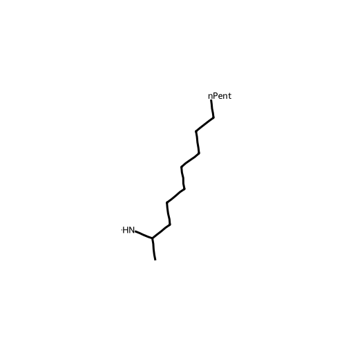 CCCCCCCCCCCCC(C)[NH]